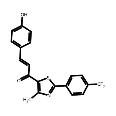 Cc1nc(-c2ccc(C(F)(F)F)cc2)sc1C(=O)C=Cc1ccc(O)cc1